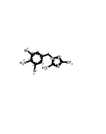 Cc1nc(C(F)(F)F)nn1Cc1cc(Br)c(N)c(Br)c1